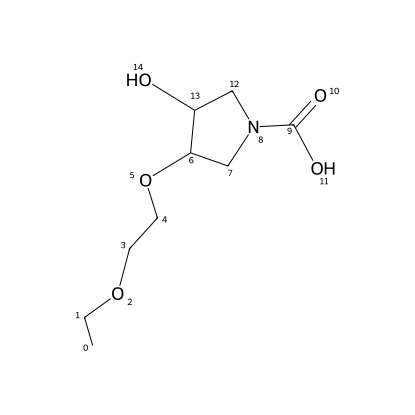 CCOCCOC1CN(C(=O)O)CC1O